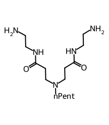 CCCCCN(CCC(=O)NCCN)CCC(=O)NCCN